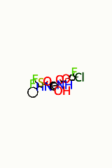 O=C(COc1ccc(Cl)c(F)c1)NC12CCC(NC(=O)C3CC(C4CCCCCCCCC4)C(C(F)F)S3)(CC1)CC2O